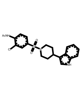 CC(=O)Nc1ccc(S(=O)(=O)N2CCC(c3c[nH]c4ccccc34)CC2)cc1Cl